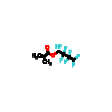 C=C(C)C(=O)OCC(F)(F)C(F)(F)C(F)F.F